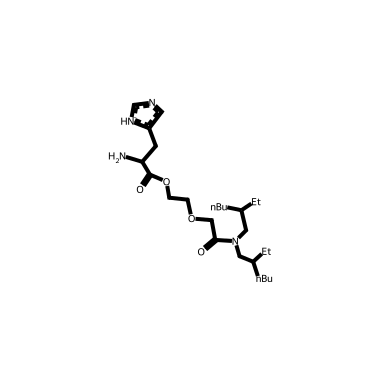 CCCCC(CC)CN(CC(CC)CCCC)C(=O)COCCOC(=O)C(N)Cc1cnc[nH]1